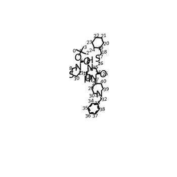 CC(C)(C)OC(=O)N1CSC[C@H]1C(=O)N[C@H](CSCC1CCCCC1)C(=O)NC1CCN(Cc2ccccc2)CC1